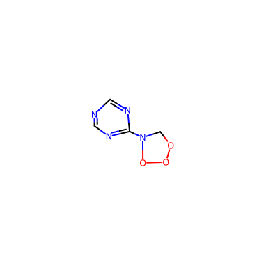 c1ncnc(N2COOO2)n1